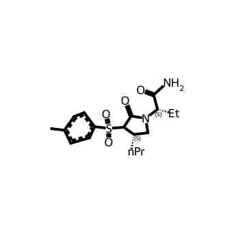 CCC[C@H]1CN([C@@H](CC)C(N)=O)C(=O)C1S(=O)(=O)c1ccc(C)cc1